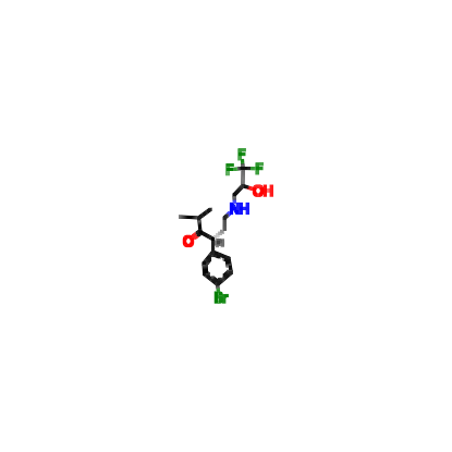 CC(C)C(=O)[C@H](CCNCC(O)C(F)(F)F)c1ccc(Br)cc1